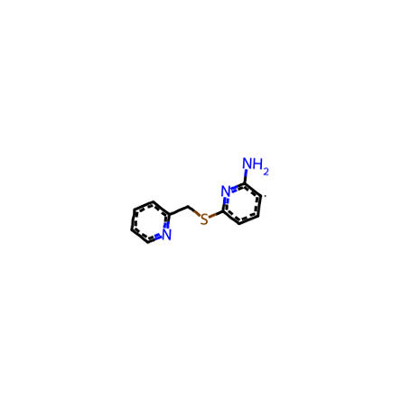 Nc1[c]ccc(SCc2ccccn2)n1